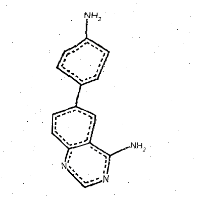 Nc1ccc(-c2ccc3ncnc(N)c3c2)cc1